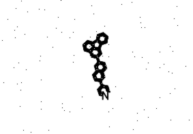 c1ccc2c(c1)-c1cccc3cc(-c4ccc5cc(-c6ccncc6)ccc5c4)cc-2c13